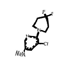 CNc1cnc(N2CCC(F)(F)CC2)c(Cl)c1